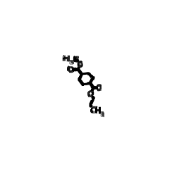 CCCOC(=O)C1CCC(C(=O)OC)CC1